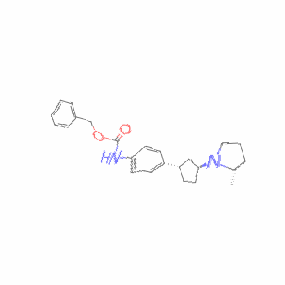 C[C@H]1CCCN1[C@H]1CC[C@H](c2ccc(NC(=O)OCc3ccccc3)cc2)C1